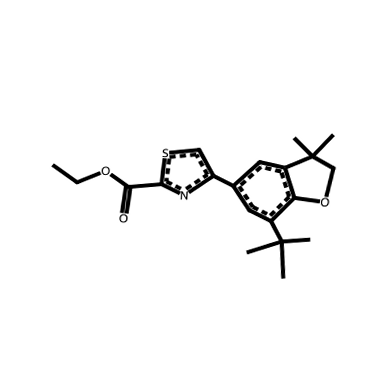 CCOC(=O)c1nc(-c2cc(C(C)(C)C)c3c(c2)C(C)(C)CO3)cs1